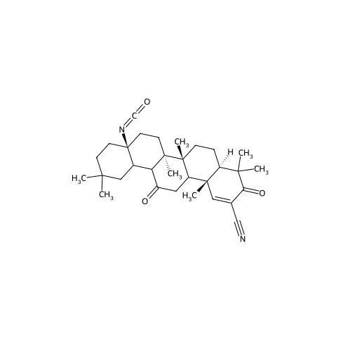 CC1(C)CC[C@]2(N=C=O)CC[C@]3(C)C(C(=O)CC4[C@@]5(C)C=C(C#N)C(=O)C(C)(C)[C@@H]5CC[C@]43C)C2C1